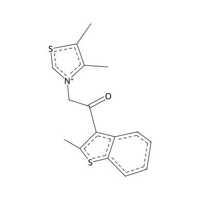 Cc1sc2ccccc2c1C(=O)C[n+]1csc(C)c1C